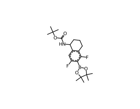 CC(C)(C)OC(=O)NC1CCCc2c1cc(F)c(B1OC(C)(C)C(C)(C)O1)c2F